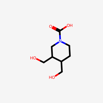 O=C(O)N1CCC(CO)C(CO)C1